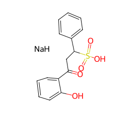 O=C(CC(c1ccccc1)S(=O)(=O)O)c1ccccc1O.[NaH]